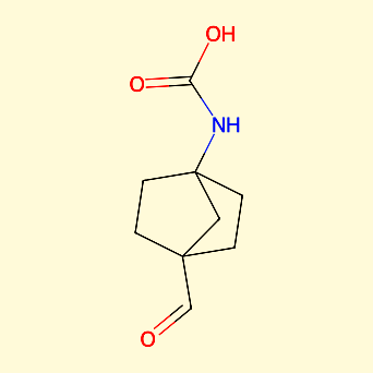 O=CC12CCC(NC(=O)O)(CC1)C2